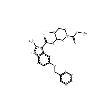 Cc1oc2ccc(OCc3ccccc3)cc2c1C(=O)NC1CN(C(=O)OC(C)(C)C)CCC1F